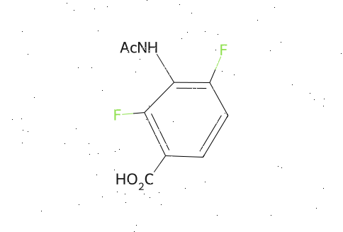 CC(=O)Nc1c(F)ccc(C(=O)O)c1F